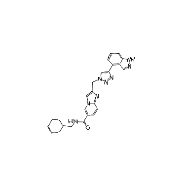 O=C(NCC1CCCCC1)c1ccc2nc(Cn3cc(-c4cccc5[nH]ncc45)nn3)cn2c1